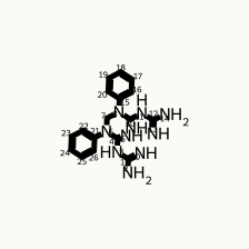 N=C(N)NC(=N)N(CN(C(=N)NC(=N)N)c1ccccc1)c1ccccc1